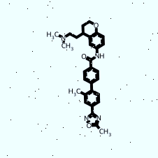 Cc1nc(-c2ccc(-c3ccc(C(=O)Nc4ccc5c(c4)C(CCN(C)C)CCO5)cc3)c(C)c2)no1